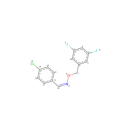 Fc1cc(F)cc(CO/N=[C]\c2ccc(Cl)cc2)c1